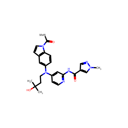 CNC(=O)n1ccc2cc(N(CCC(C)(C)O)c3ccnc(NC(=O)c4cnn(C)c4)c3)ccc21